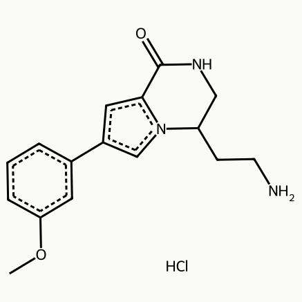 COc1cccc(-c2cc3n(c2)C(CCN)CNC3=O)c1.Cl